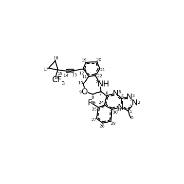 Cc1nnc2nc(C3COCc4c(C#CC5(C(F)(F)F)CC5)cccc4N3)c3c(F)cccc3n12